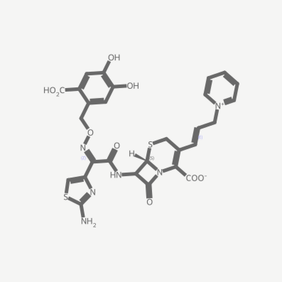 Nc1nc(/C(=N/OCc2cc(O)c(O)cc2C(=O)O)C(=O)NC2C(=O)N3C(C(=O)[O-])=C(/C=C/C[n+]4ccccc4)CS[C@@H]23)cs1